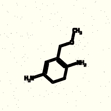 COCC1=C(N)CCC(N)=C1